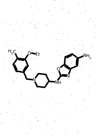 CCOc1cc(CN2CCC(Nc3nc4cc(N)ccc4o3)CC2)ccc1C